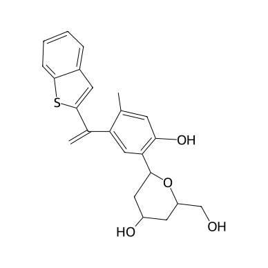 C=C(c1cc2ccccc2s1)c1cc(C2CC(O)CC(CO)O2)c(O)cc1C